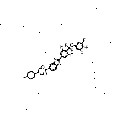 CC1CCC(C2COC(c3ccc4nc(-c5cc(F)c(C(F)(F)Oc6cc(F)c(F)c(F)c6)c(F)c5)sc4c3)OC2)CC1